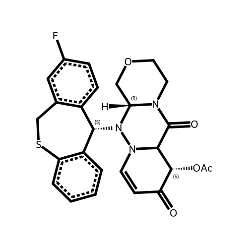 CC(=O)O[C@@H]1C(=O)C=CN2C1C(=O)N1CCOC[C@H]1N2[C@H]1c2ccc(F)cc2CSc2ccccc21